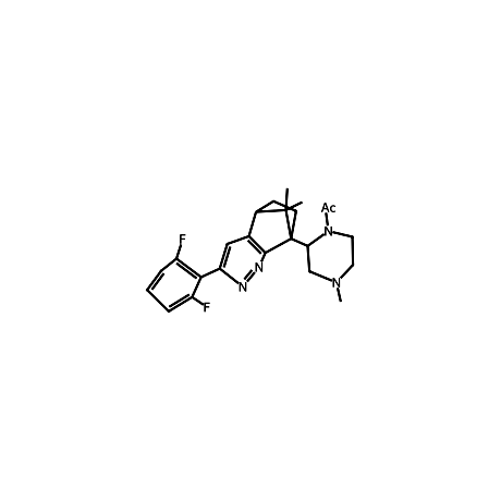 CC(=O)N1CCN(C)CC1C12CCC(c3cc(-c4c(F)cccc4F)nnc31)C2(C)C